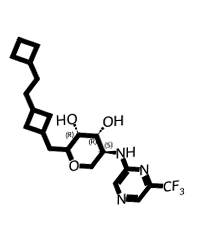 O[C@@H]1[C@@H](Nc2cncc(C(F)(F)F)n2)COC(CC2CC(CCC3CCC3)C2)[C@@H]1O